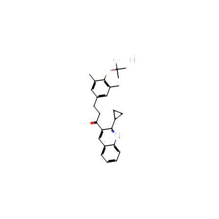 Cc1cc(CCC(=O)c2cc3ccccc3nc2C2CC2)cc(C)c1OC(C)(C)C(=O)O